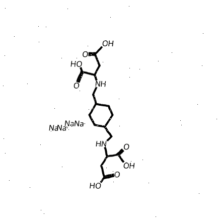 O=C(O)CC(NCC1CCC(CNC(CC(=O)O)C(=O)O)CC1)C(=O)O.[Na].[Na].[Na].[Na]